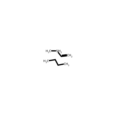 C=C[SiH2]C.CCCC